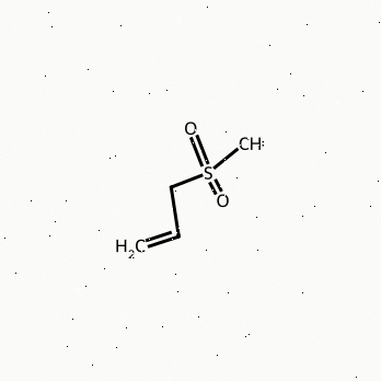 [CH]S(=O)(=O)CC=C